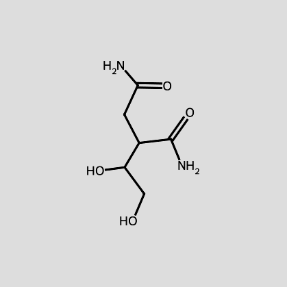 NC(=O)CC(C(N)=O)C(O)CO